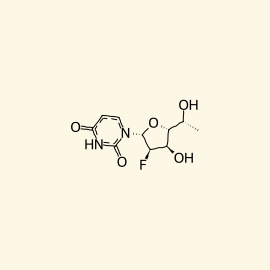 C[C@@H](O)[C@H]1O[C@@H](n2ccc(=O)[nH]c2=O)[C@H](F)[C@@H]1O